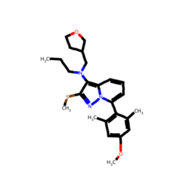 CCCN(CC1CCOC1)c1c(SC)nn2c(-c3c(C)cc(OC)cc3C)cccc12